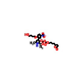 CC1=CC(c2cc([N+](=O)[O-])ccc2OCCCCO)C(OC(=O)OC(=O)OCCCCC2CCC(=O)O2)=C(C)N1